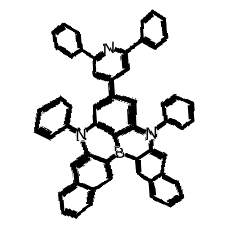 c1ccc(-c2cc(-c3cc4c5c(c3)N(c3ccccc3)c3cc6ccccc6cc3B5c3cc5ccccc5cc3N4c3ccccc3)cc(-c3ccccc3)n2)cc1